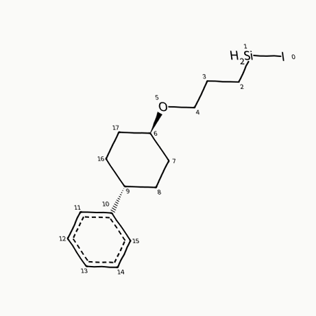 I[SiH2]CCCO[C@H]1CC[C@H](c2ccccc2)CC1